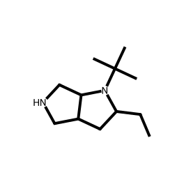 CCC1CC2CNCC2N1C(C)(C)C